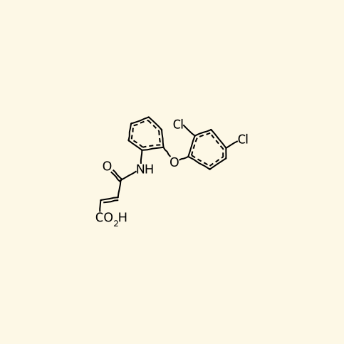 O=C(O)/C=C/C(=O)Nc1ccccc1Oc1ccc(Cl)cc1Cl